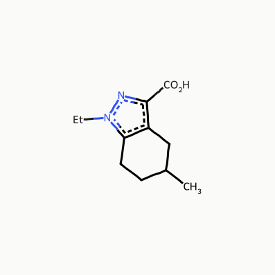 CCn1nc(C(=O)O)c2c1CCC(C)C2